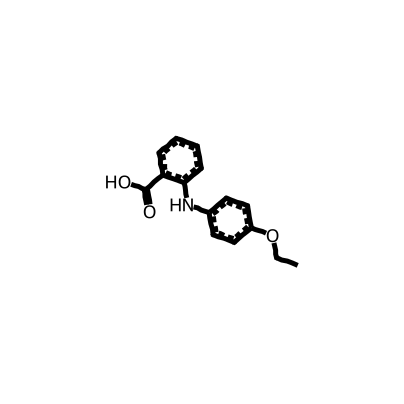 CCOc1ccc(Nc2ccccc2C(=O)O)cc1